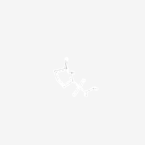 CCC(C)NS(=O)(=O)c1cccc(=O)[nH]1